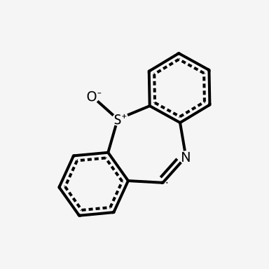 [O-][S+]1c2ccccc2[C]=Nc2ccccc21